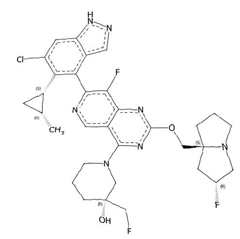 C[C@@H]1C[C@@H]1c1c(Cl)cc2[nH]ncc2c1-c1ncc2c(N3CCC[C@](O)(CF)C3)nc(OC[C@@]34CCCN3C[C@H](F)C4)nc2c1F